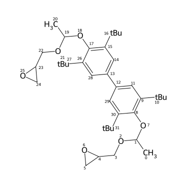 CC(OCC1CO1)Oc1c(C(C)(C)C)cc(-c2cc(C(C)(C)C)c(OC(C)OCC3CO3)c(C(C)(C)C)c2)cc1C(C)(C)C